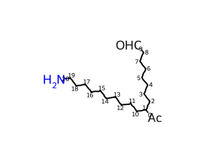 CC(=O)C(CCCCCCCC=O)CCCCCCCCCCN